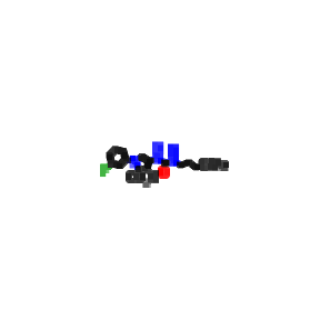 COCCCNC(=O)Nc1cn(-c2cccc(F)c2)cc1C(=O)O